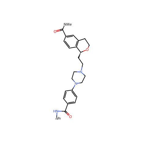 CCCNC(=O)c1ccc(N2CCN(CC[C@@H]3OCCc4cc(C(=O)NC)ccc43)CC2)cc1